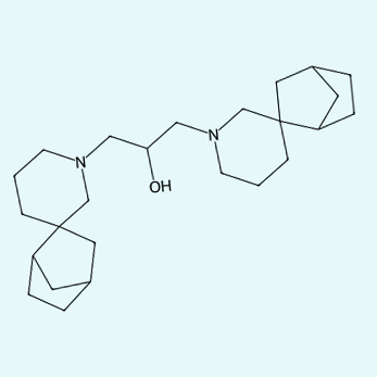 OC(CN1CCCC2(CC3CCC2C3)C1)CN1CCCC2(CC3CCC2C3)C1